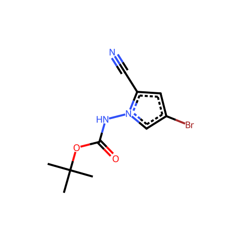 CC(C)(C)OC(=O)Nn1cc(Br)cc1C#N